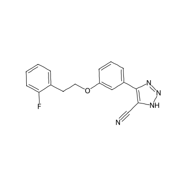 N#Cc1[nH]nnc1-c1cccc(OCCc2ccccc2F)c1